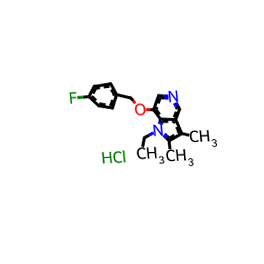 CCn1c(C)c(C)c2cncc(OCc3ccc(F)cc3)c21.Cl